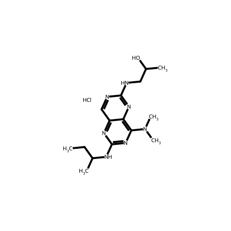 CCC(C)Nc1nc(N(C)C)c2nc(NCC(C)O)ncc2n1.Cl